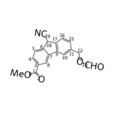 COC(=O)c1ccc2c(c1)-c1cc(COC=O)ccc1C2C#N